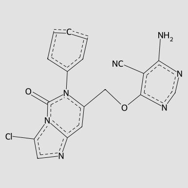 N#Cc1c(N)ncnc1OCc1cc2ncc(Cl)n2c(=O)n1-c1ccccc1